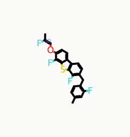 C/C(F)=C/Oc1ccc2c(sc3c(F)c(Cc4ccc(C)cc4F)ccc32)c1F